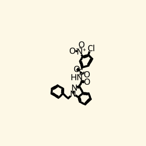 O=C(NS(=O)(=O)c1ccc(Cl)c([N+](=O)[O-])c1)c1nn(Cc2ccccc2)c2ccccc12